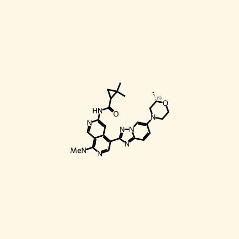 CNc1ncc(-c2nc3ccc(N4CCO[C@@H](C)C4)cn3n2)c2cc(NC(=O)C3CC3(C)C)ncc12